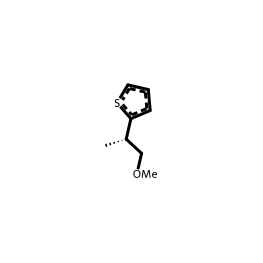 COC[C@H](C)c1cccs1